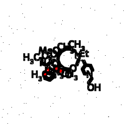 CCN1C[C@H](C)C[C@@](C)(OC)[C@H](O[C@@H]2O[C@H](C)C[C@H](N(C)C)[C@H]2OC(=O)c2ccccc2)[C@@H](C)C(=O)C(C)(C)C(=O)OC[C@H]1CC1CCN(CCO)CC1